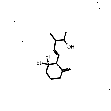 C=C1CCCC(CC)(CC)C1C=CC(C)C(C)O